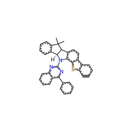 CC1(C)c2ccccc2[C@H]2C1c1ccc3c(sc4c#cccc43)c1N2c1nc(-c2ccccc2)c2ccccc2n1